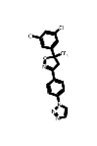 FC(F)(F)C1(c2cc(Cl)cc(Cl)c2)CC(c2ccc(-n3ccnn3)cc2)=NO1